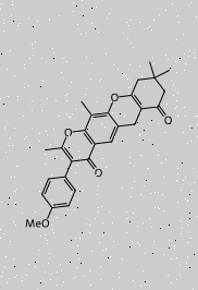 COc1ccc(-c2c(C)oc3c(C)c4c(cc3c2=O)CC2=C(CC(C)(C)CC2=O)O4)cc1